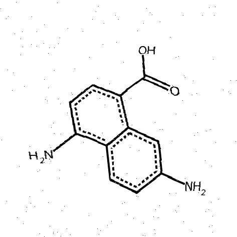 Nc1ccc2c(N)ccc(C(=O)O)c2c1